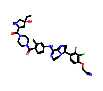 CC[C@]1(O)CNC(C(=O)N2CCN(C(=O)c3ccc(Nc4nccn5c(-c6ccc(OCC#N)c(F)c6F)cnc45)cc3C)CC2)C1